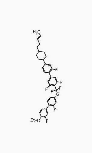 C/C=C/CCC1CCC(c2ccc(-c3cc(F)c(C(F)(F)Oc4ccc(-c5ccc(OCC)c(F)c5)c(F)c4)c(F)c3)c(F)c2)CC1